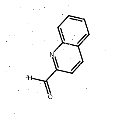 [2H]C(=O)c1ccc2ccccc2n1